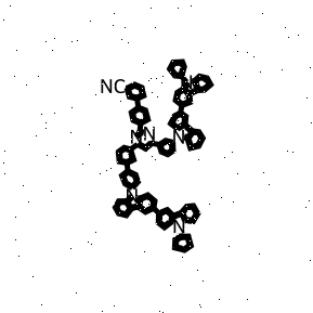 N#Cc1cccc(-c2ccc(-c3nc(-c4cccc(-c5ccc(-n6c7ccccc7c7cc(-c8ccc9c(c8)c8ccccc8n9-c8ccccc8)ccc76)cc5)c4)cc(-c4cccc(-n5c6ccccc6c6cc(-c7ccc8c(c7)c7ccccc7n8-c7ccccc7)ccc65)c4)n3)cc2)c1